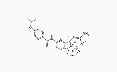 CC1(C)C(N)=N[C@](C)(c2nc(NC(=O)c3ccc(OC(F)F)cn3)ccc2F)[C@H]2CCCCN=[S@@]21=O